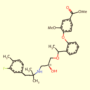 COC(=O)c1ccc(Oc2ccccc2C(C)OC[C@@H](O)CNC(C)(C)Cc2ccc(C)c(F)c2)c(OC)c1